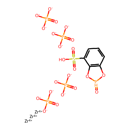 O=P([O-])([O-])[O-].O=P([O-])([O-])[O-].O=P([O-])([O-])[O-].O=P([O-])([O-])[O-].O=[PH]1Oc2cccc(S(=O)(=O)O)c2O1.[Zr+4].[Zr+4].[Zr+4]